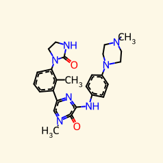 Cc1c(-c2cn(C)c(=O)c(Nc3ccc(N4CCN(C)CC4)cc3)n2)cccc1N1CCNC1=O